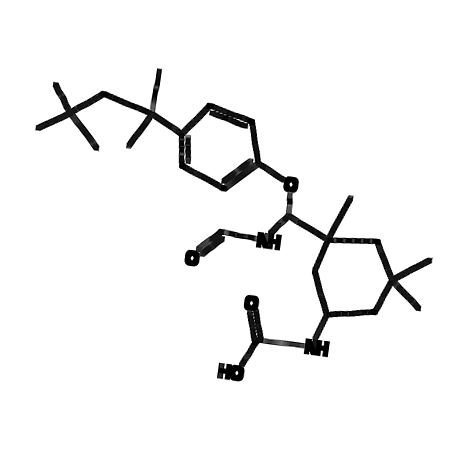 CC(C)(C)CC(C)(C)c1ccc(OC(NC=O)C2(C)CC(NC(=O)O)CC(C)(C)C2)cc1